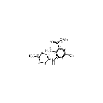 COC(=O)c1cc(Cl)cc(NC2CCN(C(C)(C)C)CC2)c1C